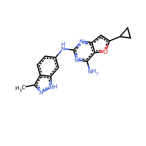 Cc1n[nH]c2cc(Nc3nc(N)c4oc(C5CC5)cc4n3)ccc12